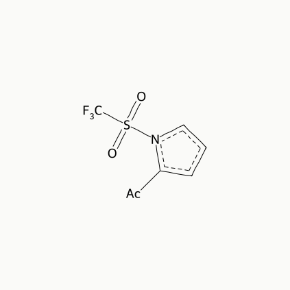 CC(=O)c1cccn1S(=O)(=O)C(F)(F)F